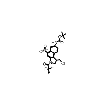 CC(C)(C)OC(=O)Nc1ccc2c3c(cc([N+](=O)[O-])c2c1)N(C(=O)C(F)(F)F)CC3CCl